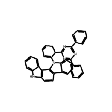 C1=CCC(c2nc(-c3ccccc3)nc(-c3ccccc3)n2)C(n2c3ccccc3c3ccc4[nH]c5ccccc5c4c32)=C1